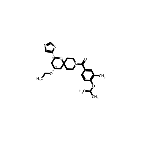 CCO[C@@H]1C[C@H](c2cncs2)OC2(CCN(C(=O)c3ccc(OC(C)C)c(C)c3)CC2)C1